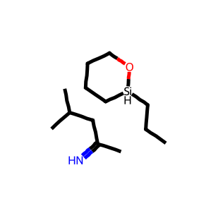 CC(=N)CC(C)C.CCC[SiH]1CCCCO1